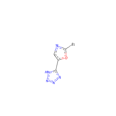 CCc1ncc(-c2nnn[nH]2)o1